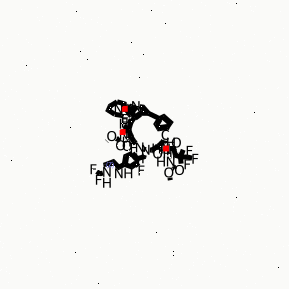 COC(=O)N[C@H](C(=O)N[C@H]1Cc2ccc(cc2)-c2cnc(N3CC4CCC(C3)N4C3COC3)c(c2)C(F)(F)C(C)(C)[C@H](NC(=O)OC)C(=O)NN(Cc2c(F)cc(C(=N)/C=C\NC(F)F)cc2F)C[C@@H]1O)C(C)(C)C(F)(F)F